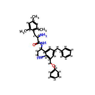 Cc1cc(C)c(CC(N)C(=O)NC2CCNc3c(COc4ccccc4)cc(Cc4ccccc4)cc32)c(C)c1